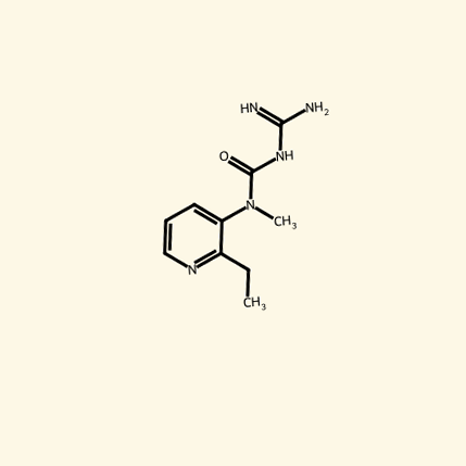 CCc1ncccc1N(C)C(=O)NC(=N)N